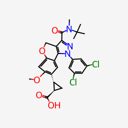 COc1cc2c(cc1[C@@H]1C[C@H]1C(=O)O)-c1c(c(C(=O)N(C)C(C)(C)C)nn1-c1cc(Cl)cc(Cl)c1)CO2